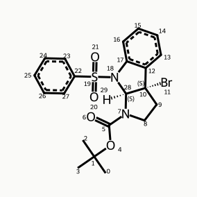 CC(C)(C)OC(=O)N1CC[C@]2(Br)c3ccccc3N(S(=O)(=O)c3ccccc3)[C@H]12